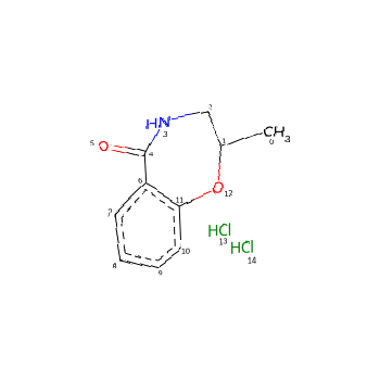 CC1CNC(=O)c2ccccc2O1.Cl.Cl